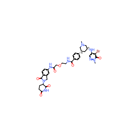 CN1C[C@H](Nc2cnn(C)c(=O)c2Br)C[C@H](c2ccc(C(=O)NCCOCC(=O)Nc3ccc4c(c3)CN(C3CCC(=O)NC3=O)C4=O)cc2)C1